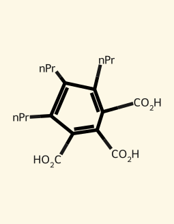 CCCc1c(CCC)c(C(=O)O)c(C(=O)O)c(C(=O)O)c1CCC